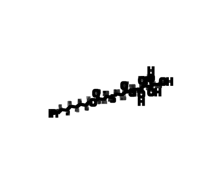 CC(C)CCCCCCCOC(=O)CCSCCC(=O)OC[C@H](O)[C@@H](O)[C@H](O)[C@H](O)CO